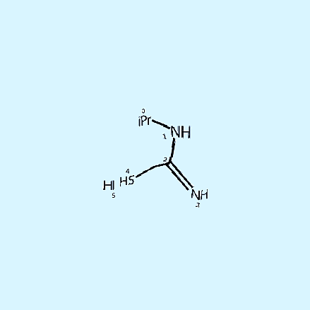 CC(C)NC(=N)S.I